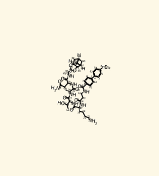 CCCCc1ccc(-c2ccc(C(=O)NCCC(=O)N[C@@H](CCCCN)C(=O)N[C@H](C(=O)N[C@@H](C)C(=O)NC(CC(N)=O)C(=O)N[C@H](C)B3O[C@H]4C[C@H]5C[C@H](C5(C)C)[C@@]4(C)O3)C(C)O)cc2)cc1